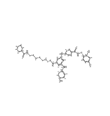 O=C(NCCOCCOCCNc1nc(Nc2ccc(O)cc2)nc(Nc2ccc(C(=O)NCc3ccc(Cl)cc3Cl)cc2)n1)c1ccccc1